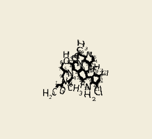 C=CC(=O)N1CC2CCOc3c(c4cc(F)c(-c5c(N)c(Cl)cc(Cl)c5F)c(F)c4n(-c4c(C)ccnc4C(C)C)c3=O)N2CC1C